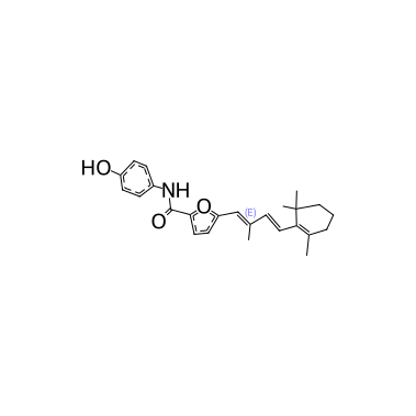 CC1=C(C=C/C(C)=C/c2ccc(C(=O)Nc3ccc(O)cc3)o2)C(C)(C)CCC1